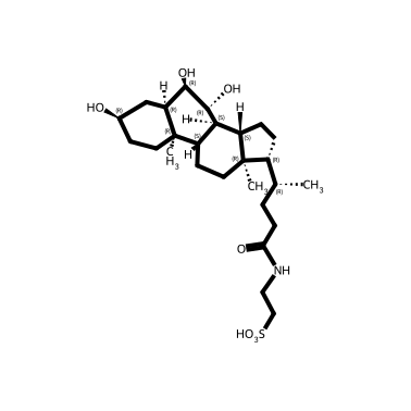 C[C@H](CCC(=O)NCCS(=O)(=O)O)[C@H]1CC[C@H]2[C@@H]3[C@@H](O)[C@H](O)[C@@H]4C[C@H](O)CC[C@]4(C)[C@H]3CC[C@]12C